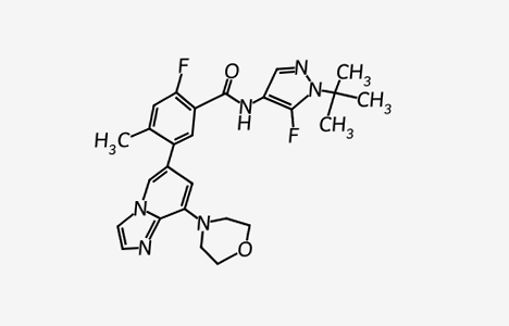 Cc1cc(F)c(C(=O)Nc2cnn(C(C)(C)C)c2F)cc1-c1cc(N2CCOCC2)c2nccn2c1